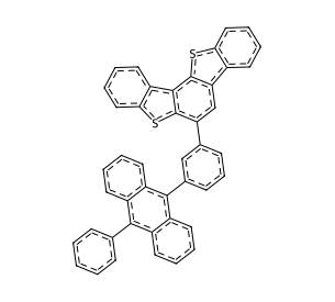 c1ccc(-c2c3ccccc3c(-c3cccc(-c4cc5c6ccccc6sc5c5c4sc4ccccc45)c3)c3ccccc23)cc1